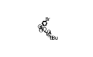 CC(C)(C)N1COC(COS(=O)(=O)c2ccc(Br)cc2)C1